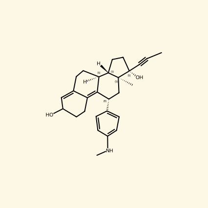 CC#C[C@]1(O)CC[C@H]2[C@@H]3CCC4=CC(O)CCC4=C3[C@@H](c3ccc(NC)cc3)C[C@@]21C